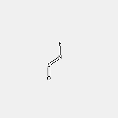 O=S=NF